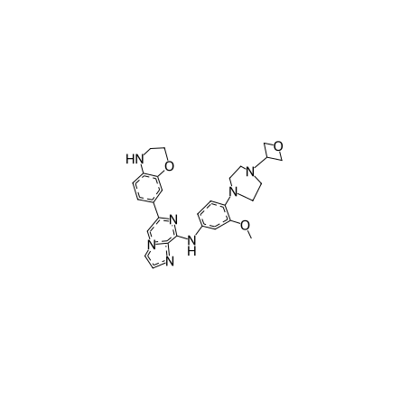 COc1cc(Nc2nc(-c3ccc4c(c3)OCCN4)cn3ccnc23)ccc1N1CCN(C2COC2)CC1